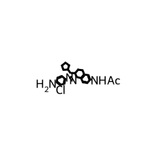 CC(=O)Nc1ccc2c(c1)CCC1C2=NN(c2ccc(N)c(Cl)c2)C1C1CCCC1